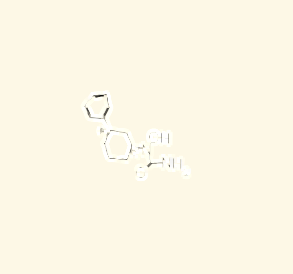 NC(=O)N(O)[C@H]1CCC[C@@H](c2ccccc2)C1